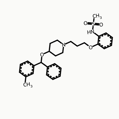 Cc1cccc(C(OC2CCN(CCCOc3ccccc3NS(C)(=O)=O)CC2)c2ccccc2)c1